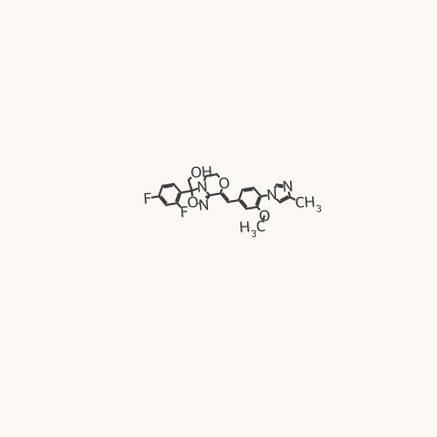 COc1cc(/C=C2\OCCN3C2=NOC3(CO)c2ccc(F)cc2F)ccc1-n1cnc(C)c1